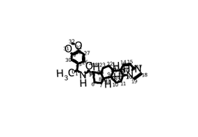 CC(NC(=O)[C@@H]1CC[C@H]2[C@@H]3CCC4[C@H](C=Cc5nccn54)[C@H]3CC[C@@H]21)c1ccc2c(c1)OCO2